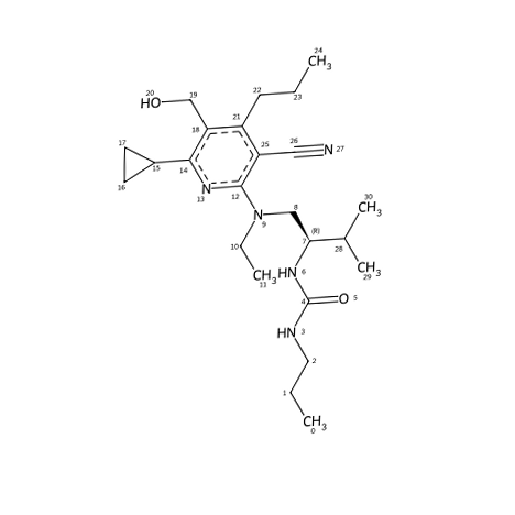 CCCNC(=O)N[C@@H](CN(CC)c1nc(C2CC2)c(CO)c(CCC)c1C#N)C(C)C